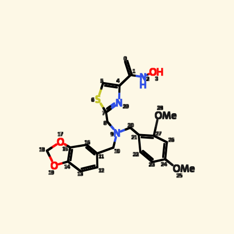 C=C(NO)c1csc(CN(Cc2ccc3c(c2)OCO3)Cc2ccc(OC)cc2OC)n1